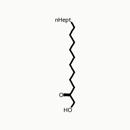 CCCCCCCCCCCCCCCCC(=O)CO